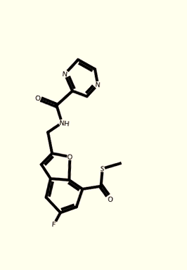 CSC(=O)c1cc(F)cc2cc(CNC(=O)c3cnccn3)oc12